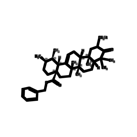 CCOC(=O)C1C[C@]2(C)[C@H]3CC=C4[C@@H]5[C@@H](C)[C@H](C)CC[C@]5(C(=O)OCc5ccccc5)CC[C@@]4(C)[C@]3(C)CC[C@H]2C(C)(C)C1=O